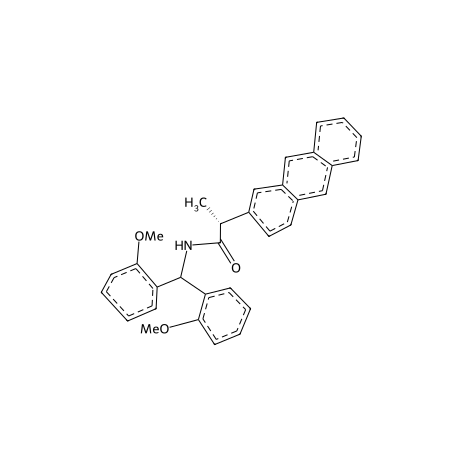 COc1ccccc1C(NC(=O)[C@H](C)c1ccc2cc3ccccc3cc2c1)c1ccccc1OC